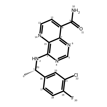 C[C@H](Nc1ncnc2c(C(N)=O)ccnc12)c1ccc(F)c(Cl)c1